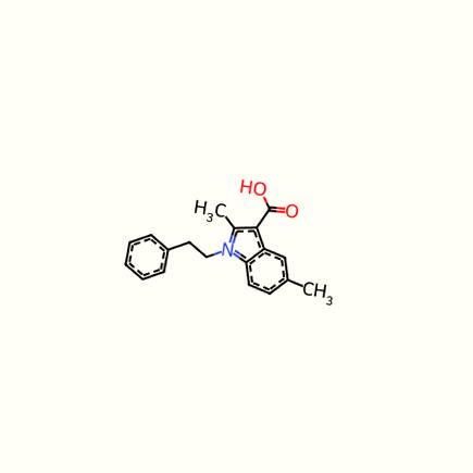 Cc1ccc2c(c1)c(C(=O)O)c(C)n2CCc1ccccc1